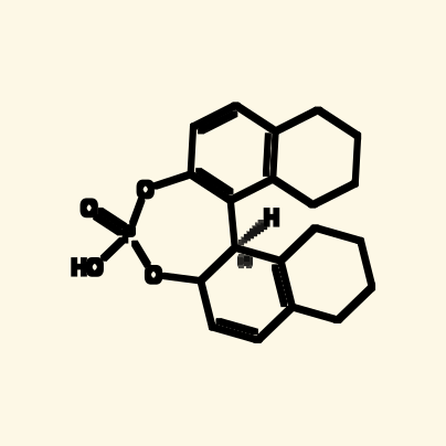 O=P1(O)Oc2ccc3c(c2[C@H]2C4=C(C=CC2O1)CCCC4)CCCC3